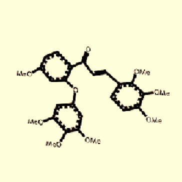 COc1ccc(C(=O)/C=C/c2ccc(OC)c(OC)c2OC)c(Oc2cc(OC)c(OC)c(OC)c2)c1